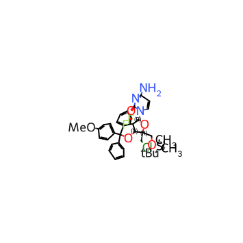 COc1ccc(C(O[C@H]2C(F)(F)[C@H](n3ccc(N)nc3=O)O[C@]2(CCl)CO[Si](C)(C)C(C)(C)C)(c2ccccc2)c2ccccc2)cc1